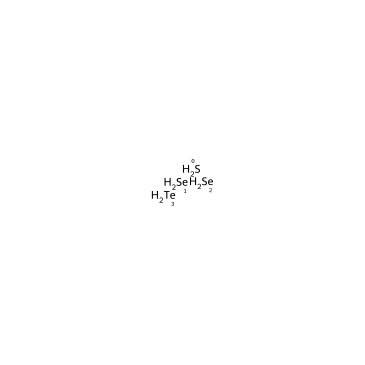 S.[SeH2].[SeH2].[TeH2]